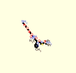 CCCO[C@H](C[C@@H](N)C(C)C)c1nc(C(=O)N[C@@H](Cc2ccc(C)cc2)C[C@H](C)C(=O)NNC(=O)OCCOCCOCCOCCN)cs1